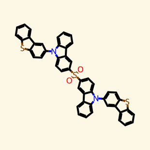 O=S(=O)(c1ccc2c(c1)c1ccccc1n2-c1ccc2sc3ccccc3c2c1)c1ccc2c(c1)c1ccccc1n2-c1ccc2sc3ccccc3c2c1